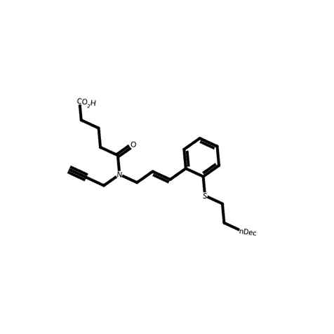 C#CCN(C/C=C/c1ccccc1SCCCCCCCCCCCC)C(=O)CCCC(=O)O